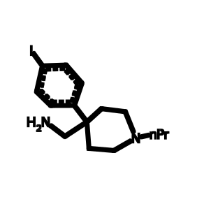 CCCN1CCC(CN)(c2ccc(I)cc2)CC1